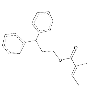 CC=C(C)C(=O)OCCC(c1ccccc1)c1ccccc1